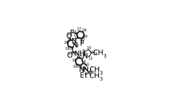 CCC(C)(C)n1cc2c(N3CC[C@@H](C)C3)c(NC(=O)c3ccc(=O)n(-c4c(F)cccc4F)n3)ccc2n1